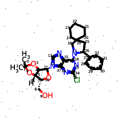 CC1(C)OC2[C@@H](O1)[C@@H](CO)O[C@H]2n1cnc2c(N3CC4(CCCCC4)CC3c3ccccc3)nc(Cl)nc21